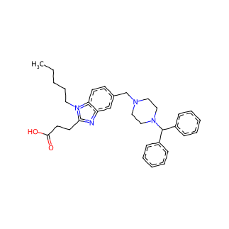 CCCCCn1c(CCC(=O)O)nc2cc(CN3CCN(C(c4ccccc4)c4ccccc4)CC3)ccc21